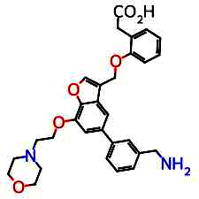 NCc1cccc(-c2cc(OCCN3CCOCC3)c3occ(COc4ccccc4CC(=O)O)c3c2)c1